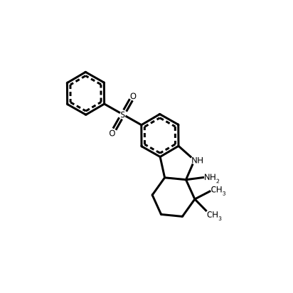 CC1(C)CCCC2c3cc(S(=O)(=O)c4ccccc4)ccc3NC21N